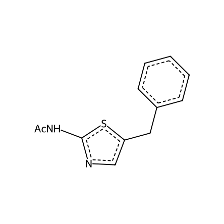 CC(=O)Nc1ncc(Cc2ccccc2)s1